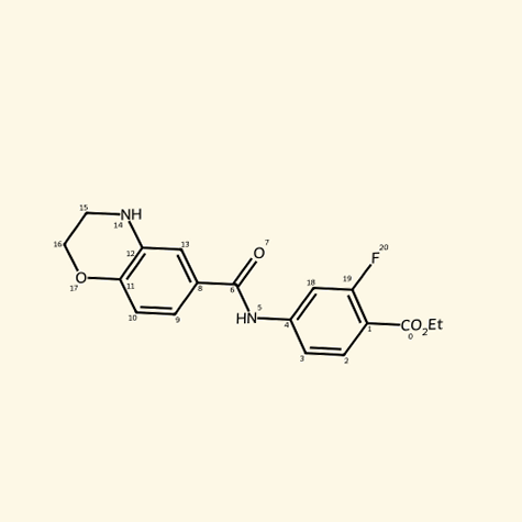 CCOC(=O)c1ccc(NC(=O)c2ccc3c(c2)NCCO3)cc1F